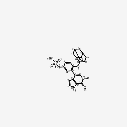 CCCCS(=O)(=O)Nc1ccc(OC2C3CC4CC(C3)CC2C4)c(-c2cn(C)c(=O)c3[nH]ccc23)c1